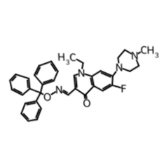 CCn1cc(/C=N/OC(c2ccccc2)(c2ccccc2)c2ccccc2)c(=O)c2cc(F)c(N3CCN(C)CC3)cc21